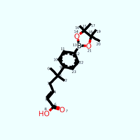 CC(C)(CC=CC(=O)O)c1ccc(B2OC(C)(C)C(C)(C)O2)cc1